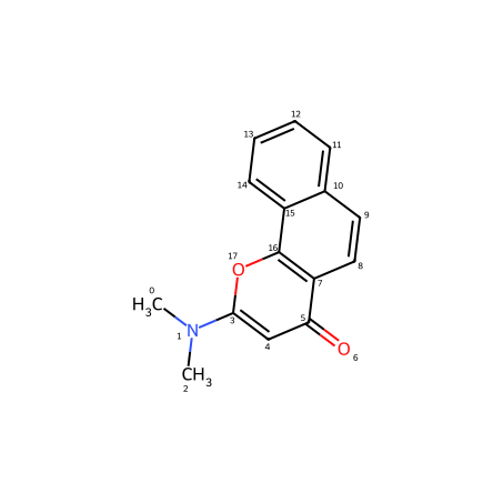 CN(C)c1cc(=O)c2ccc3ccccc3c2o1